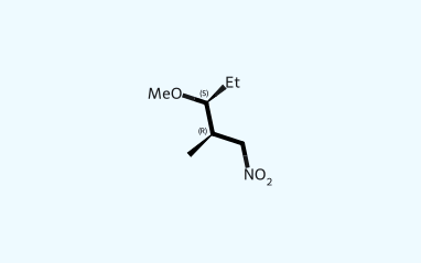 CC[C@H](OC)[C@H](C)C[N+](=O)[O-]